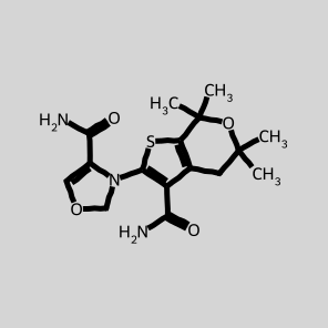 CC1(C)Cc2c(sc(N3COC=C3C(N)=O)c2C(N)=O)C(C)(C)O1